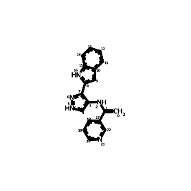 C=C(Nc1c[nH]nc1-c1cc2ccccc2[nH]1)c1cccnc1